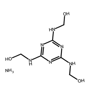 N.OCNc1nc(NCO)nc(NCO)n1